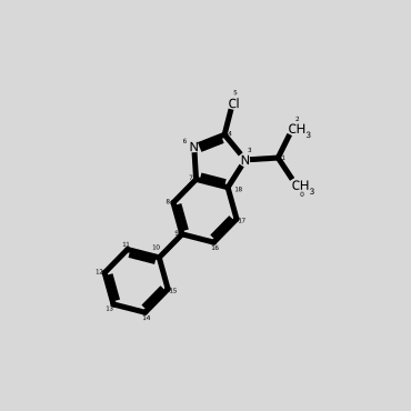 CC(C)n1c(Cl)nc2cc(-c3ccccc3)ccc21